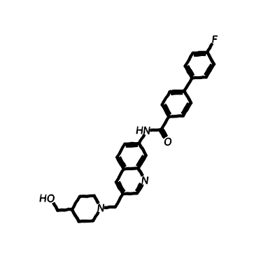 O=C(Nc1ccc2cc(CN3CCC(CO)CC3)cnc2c1)c1ccc(-c2ccc(F)cc2)cc1